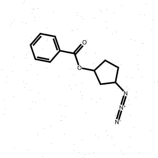 [N-]=[N+]=NC1CCC(OC(=O)c2ccccc2)C1